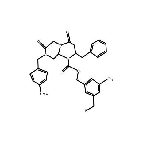 COc1ccc(CN2CC3N(CC2=O)C(=O)CC(Cc2ccccc2)N3C(=O)OCc2cc(CF)cc(C(F)(F)F)c2)cc1